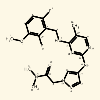 COc1ccc(F)c(CNc2nc(Nc3cnn(CC(=O)N(C)C)c3)ncc2C)c1F